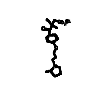 CCOC(=O)CC(C)(C)C(=O)c1ccc(OCCCN2CCCC2C)cc1